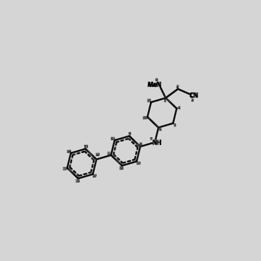 CNC1(CC#N)CCC(Nc2ccc(-c3ccccc3)cc2)CC1